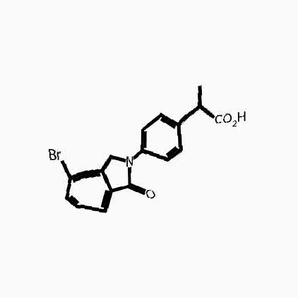 CC(C(=O)O)c1ccc(N2Cc3c(Br)cccc3C2=O)cc1